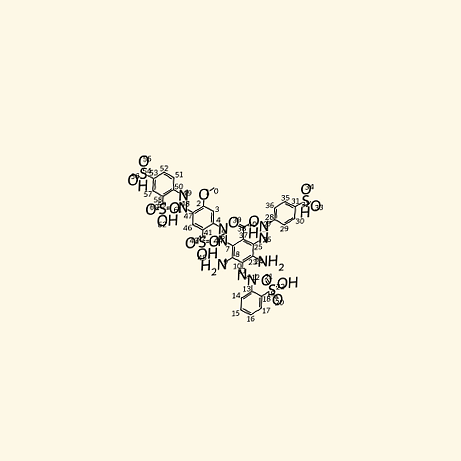 COc1cc(N=Nc2c(N)c(N=Nc3ccccc3S(=O)(=O)O)c(N)c(N=Nc3ccc([SH](=O)=O)cc3)c2C(=O)O)c(S(=O)(=O)O)cc1N=Nc1ccc([SH](=O)=O)cc1S(=O)(=O)O